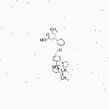 CCC[C@@H](CC(=O)O)c1cccc(OCc2ccc(-c3cccc(OC)c3)c(C3CCCC3(C)C)c2)c1